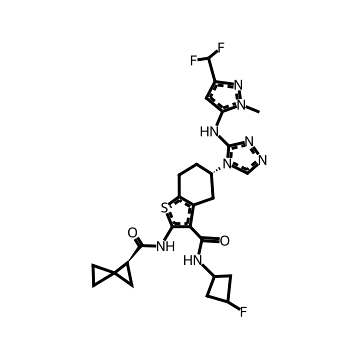 Cn1nc(C(F)F)cc1Nc1nncn1[C@H]1CCc2sc(NC(=O)[C@H]3CC34CC4)c(C(=O)NC3CC(F)C3)c2C1